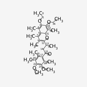 CCOC1=C(C)C2=C(C)C(C)=C(C(C)CC(=O)c3c(C)c(C)c(OC)c(OC)c3C)OC2C(C)=C1OCC